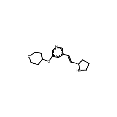 C(=C[C@H]1CCCN1)c1cncc(OC2CCOCC2)c1